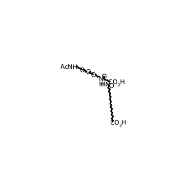 CC(=O)NCCCOCCOCCOCCCNC(=O)CC[C@H](NC(=O)CCCCCCCCCCCCCCCCCCC(=O)O)C(=O)O